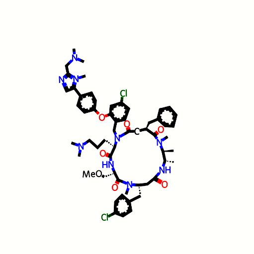 COC[C@@H]1NC(=O)[C@H](CCCN(C)C)N(Cc2ccc(Cl)cc2Oc2ccc(-c3cnc(CN(C)C)n3C)cc2)C(=O)C[C@@H](Cc2ccccc2)C(=O)N(C)[C@@H](C)[C@H](C)NC(=O)C[C@H](Cc2ccc(Cl)cc2)N(C)C1=O